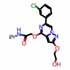 CC(C)NC(=O)COc1nc(-c2cccc(Cl)c2)cn2nc(OCCO)cc12